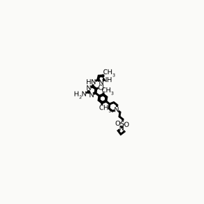 Cc1cc(Nc2nc(N)nc(-c3cc(C)c(C4CCN(CCCS(=O)(=O)N5CCC5)CC4)cc3C)c2Cl)n[nH]1